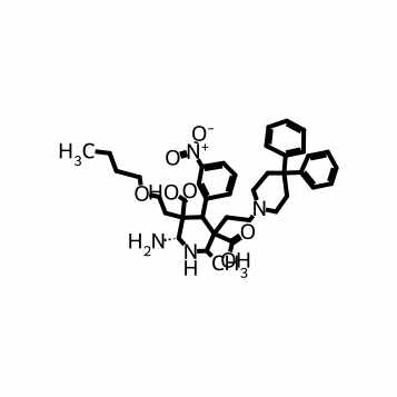 CCCCOCCC1(C(=O)O)C(c2cccc([N+](=O)[O-])c2)C(CCN2CCC(c3ccccc3)(c3ccccc3)CC2)(C(=O)O)C(C)N[C@@H]1N